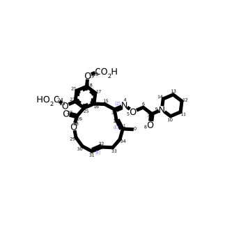 C/C1=C\C(=N/OCC(=O)N2CCCCC2)Cc2cc(OC(=O)O)cc(OC(=O)O)c2C(=O)OCC/C=C/CC1